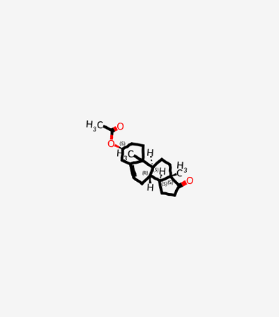 CC(=O)O[C@H]1CCC2(C)C(=CC[C@@H]3[C@@H]2CC[C@]2(C)C(=O)CC[C@@H]32)C1